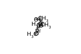 COc1ccc(/C=C/C(=O)OC(C)(C)CCCC(C)CC=O)cc1